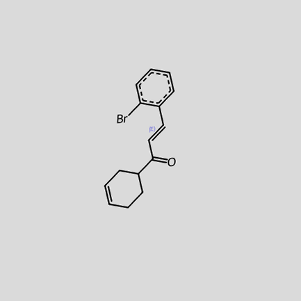 O=C(/C=C/c1ccccc1Br)C1CC=CCC1